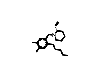 C=C[C@@H]1CCCCN1Cc1cc(C)c(C)cc1CCCCC